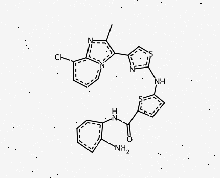 Cc1nc2c(Cl)cccn2c1-c1csc(Nc2ccc(C(=O)Nc3ccccc3N)s2)n1